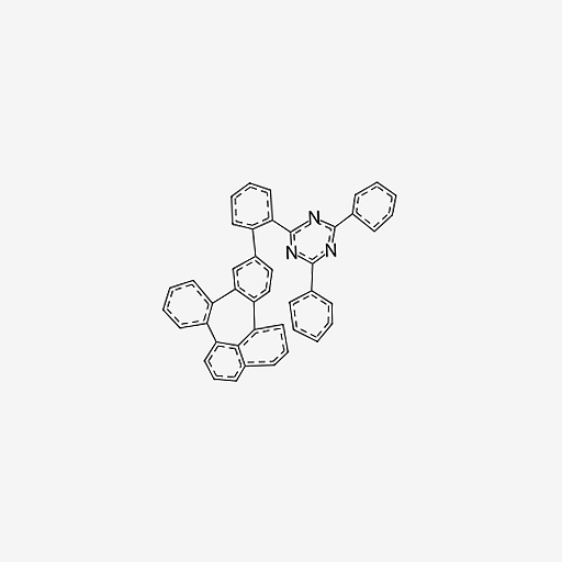 c1ccc(-c2nc(-c3ccccc3)nc(-c3ccccc3-c3ccc4c(c3)-c3ccccc3-c3cccc5cccc-4c35)n2)cc1